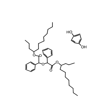 CCCCCCCCC(CCC)OC(=O)C(OC(C(=O)OC(CCC)CCCCCCCC)c1ccccc1)c1ccccc1.Oc1ccc(O)cc1